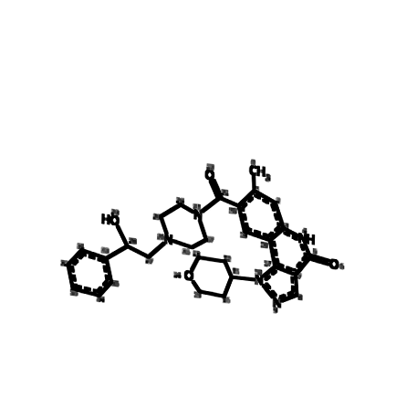 Cc1cc2[nH]c(=O)c3cnn(C4CCOCC4)c3c2cc1C(=O)N1CCN(CC(O)c2ccccc2)CC1